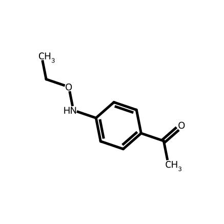 CCONc1ccc(C(C)=O)cc1